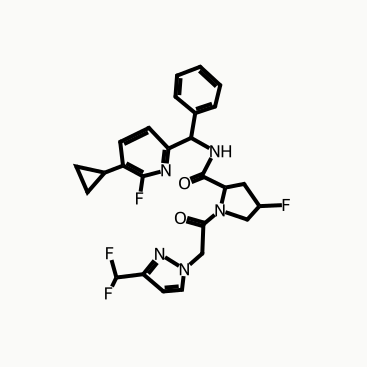 O=C(NC(c1ccccc1)c1ccc(C2CC2)c(F)n1)C1CC(F)CN1C(=O)Cn1ccc(C(F)F)n1